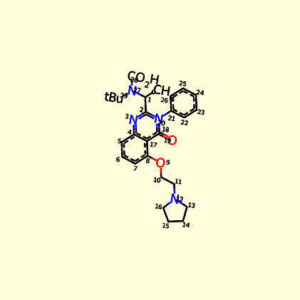 CC(c1nc2cccc(OCCN3CCCC3)c2c(=O)n1-c1ccccc1)N(C(=O)O)C(C)(C)C